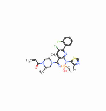 C=CC(=O)N1C[C@H](C)N(C2=N[PH](C)(O)N(c3scnc3C(C)C)c3nc(-c4ccccc4F)c(Cl)cc32)C[C@H]1C